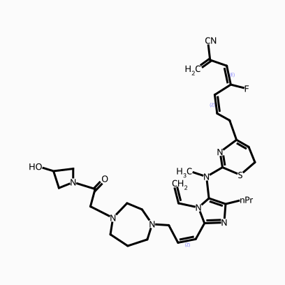 C=Cn1c(/C=C\CN2CCCN(CC(=O)N3CC(O)C3)CC2)nc(CCC)c1N(C)C1=NC(C/C=C\C(F)=C/C(=C)C#N)=CCS1